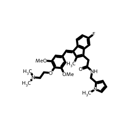 COc1cc(C=C2C(C)=C(CC(=O)NCc3cccn3C)c3cc(F)ccc32)cc(OC)c1OCCN(C)C